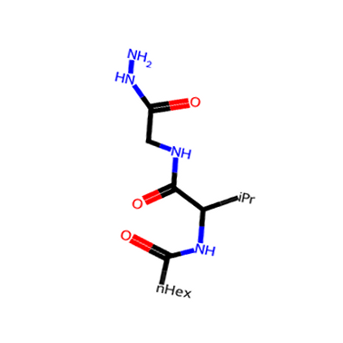 CCCCCCC(=O)NC(C(=O)NCC(=O)NN)C(C)C